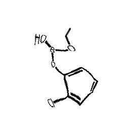 COB(O)Oc1ccccc1Cl